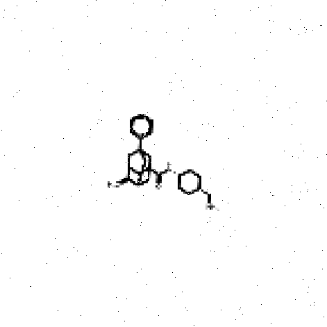 C=C1C2CC3(C(=O)N[C@H]4CC[C@H](CN)CC4)CC1CC(c1ccccc1)(C2)C3